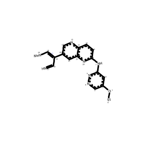 CCOc1cnnc(Nc2ccc3ncc(/C(C=N)=C/NC)cc3n2)c1